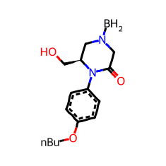 BN1CC(=O)N(c2ccc(OCCCC)cc2)[C@@H](CO)C1